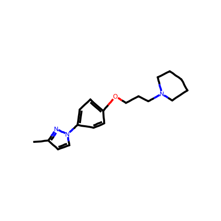 Cc1ccn(-c2ccc(OCCCN3CCCCC3)cc2)n1